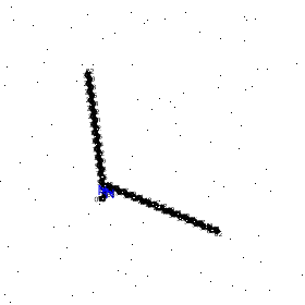 C[CH]c1nc(CCCCCCCCCCCCCCCCCCCCCCCCCCCC)cc(CCCCCCCCCCCCCCCCCCCCCCCCCCCC)n1